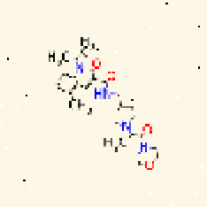 Cc1cccc2c1cc(C(=O)NCC1CCN(C(C)C(=O)N3CCOCC3)CC1)c(=O)n2C(C)C